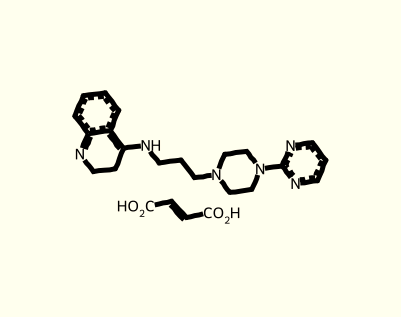 O=C(O)C=CC(=O)O.c1cnc(N2CCN(CCCNC3=c4ccccc4=NCC3)CC2)nc1